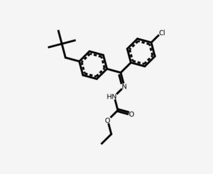 CCOC(=O)NN=C(c1ccc(Cl)cc1)c1ccc(CC(C)(C)C)cc1